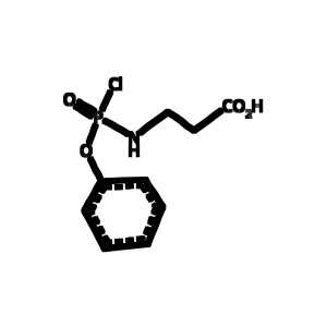 O=C(O)CCNP(=O)(Cl)Oc1ccccc1